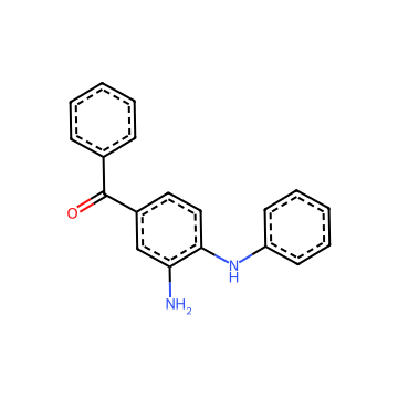 Nc1cc(C(=O)c2ccccc2)ccc1Nc1ccccc1